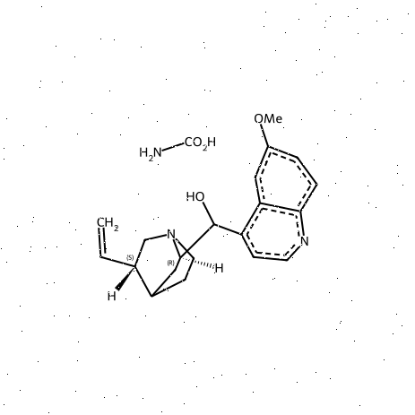 C=C[C@@H]1CN2CCC1C[C@@H]2C(O)c1ccnc2ccc(OC)cc12.NC(=O)O